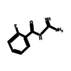 N=C(N)NC(=O)c1ccccc1F